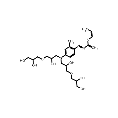 C=C(/N=N/c1ccc(N(CC(O)COCC(O)CO)CC(O)COCC(O)CO)cc1C)S/C=C\C